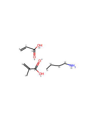 C=C(C)C(=O)O.C=CC(=O)O.CCCCN